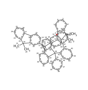 CC1(C)c2ccccc2-c2cc(N(c3ccc4c(c3)C(C)(C)c3ccccc3-4)c3ccccc3C3(c4ccccc4)c4ccccc4-c4ccccc4-c4ccccc43)ccc21